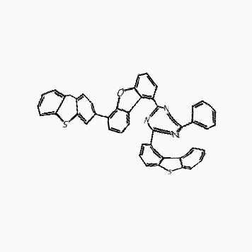 c1ccc(-c2nc(-c3cccc4oc5c(-c6ccc7c(c6)sc6ccccc67)cccc5c34)nc(-c3cccc4sc5ccccc5c34)n2)cc1